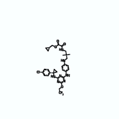 CC(C)(CNC(=O)C(=O)OCC1CC1)CNc1ccc(Nc2nc(NC3(c4ccc(Cl)cc4)CC3)nc(OCC(F)(F)F)n2)cc1